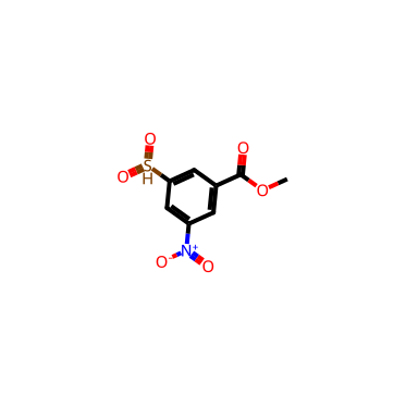 COC(=O)c1cc([N+](=O)[O-])cc([SH](=O)=O)c1